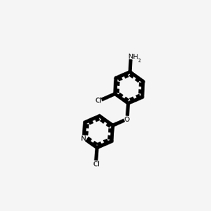 Nc1ccc(Oc2ccnc(Cl)c2)c(Cl)c1